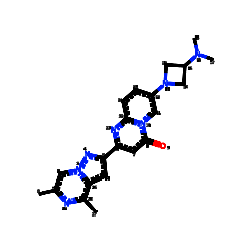 Cc1cn2nc(-c3cc(=O)n4cc(N5CC(N(C)C)C5)ccc4n3)cc2c(C)n1